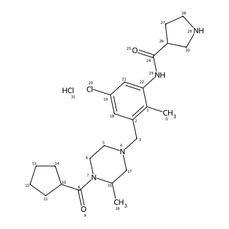 Cc1c(CN2CCN(C(=O)C3CCCC3)C(C)C2)cc(Cl)cc1NC(=O)C1CCNC1.Cl